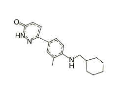 Cc1cc(-c2ccc(=O)[nH]n2)ccc1NCC1CCCCC1